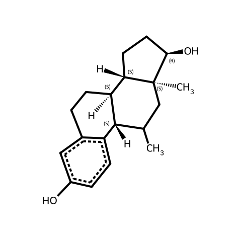 CC1C[C@]2(C)[C@H](O)CC[C@H]2[C@@H]2CCc3cc(O)ccc3[C@@H]12